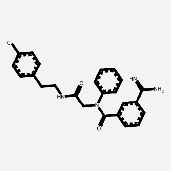 N=C(N)c1cccc(C(=O)N(CC(=O)NCCc2ccc(Cl)cc2)c2ccccc2)c1